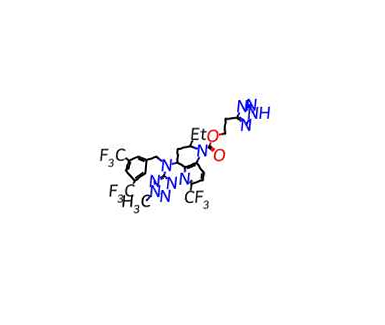 CCC1CC(N(Cc2cc(C(F)(F)F)cc(C(F)(F)F)c2)c2nnn(C)n2)c2nc(C(F)(F)F)ccc2N1C(=O)OCCc1nn[nH]n1